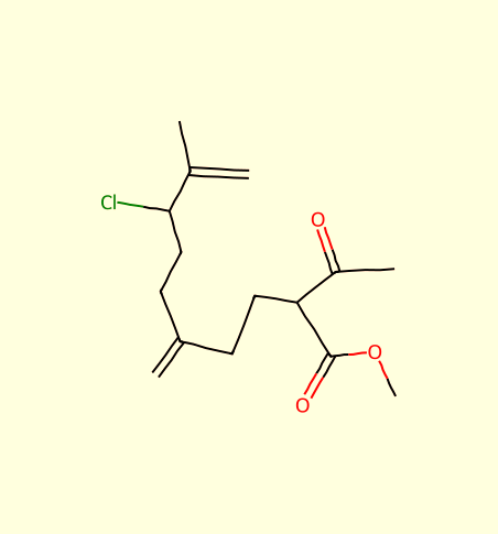 C=C(CCC(Cl)C(=C)C)CCC(C(C)=O)C(=O)OC